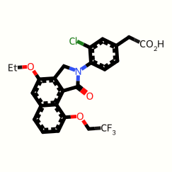 CCOc1cc2cccc(OCC(F)(F)F)c2c2c1CN(c1ccc(CC(=O)O)cc1Cl)C2=O